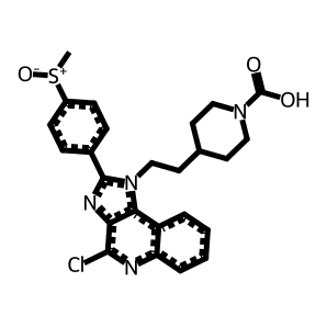 C[S+]([O-])c1ccc(-c2nc3c(Cl)nc4ccccc4c3n2CCC2CCN(C(=O)O)CC2)cc1